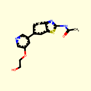 CC(=O)Nc1nc2ccc(-c3cncc(OCCO)c3)cc2s1